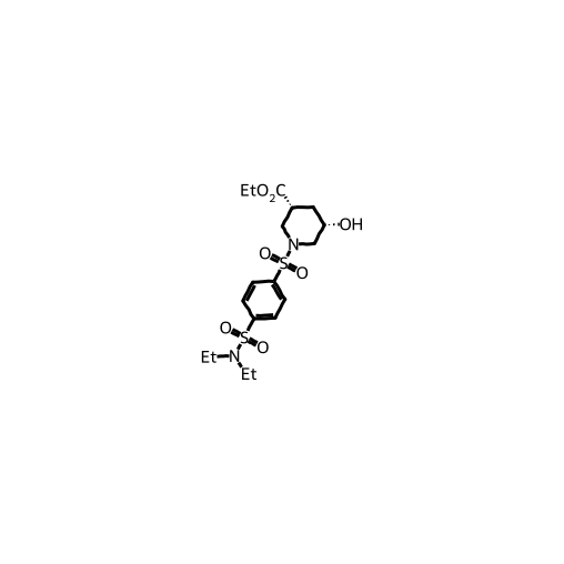 CCOC(=O)[C@@H]1C[C@H](O)CN(S(=O)(=O)c2ccc(S(=O)(=O)N(CC)CC)cc2)C1